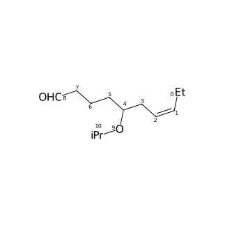 CC/C=C\CC(CCCC=O)OC(C)C